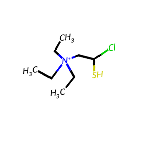 CC[N+](CC)(CC)CC(S)Cl